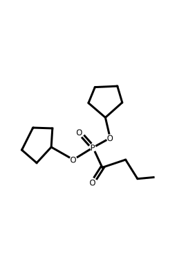 CCCC(=O)P(=O)(OC1CCCC1)OC1CCCC1